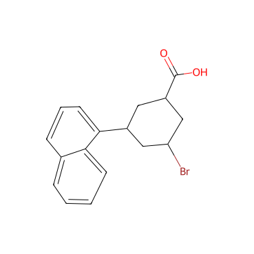 O=C(O)C1CC(Br)CC(c2cccc3ccccc23)C1